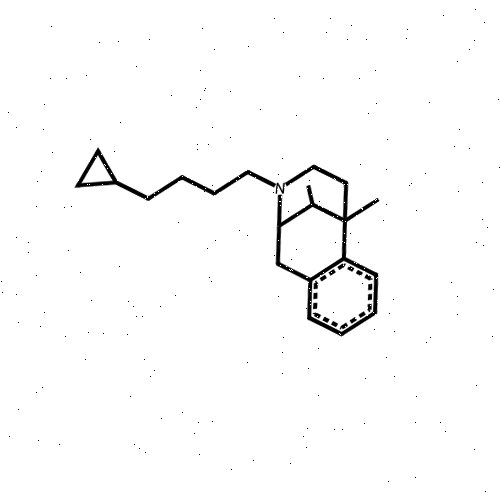 CC1C2Cc3ccccc3C1(C)CCN2CCCCC1CC1